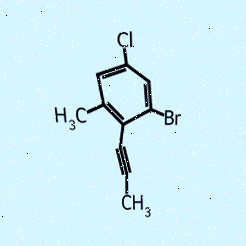 CC#Cc1c(C)cc(Cl)cc1Br